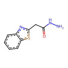 NNC(=O)Cc1nc2ccccc2s1